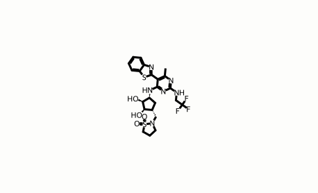 Cc1nc(NCC(F)(F)F)nc(N[C@@H]2C[C@H](CN3CCCS3(=O)=O)[C@@H](O)[C@H]2O)c1-c1nc2ccccc2s1